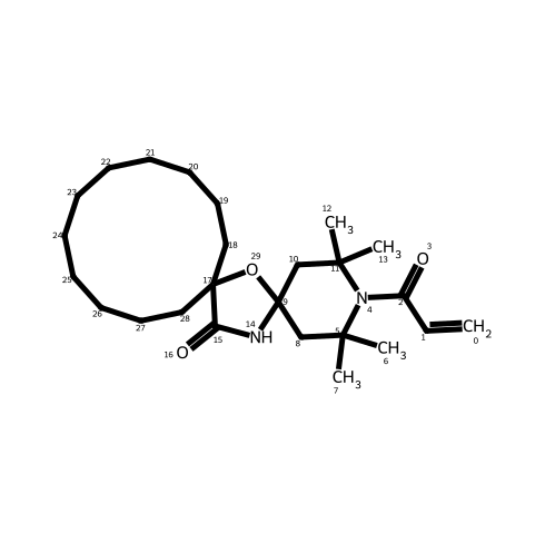 C=CC(=O)N1C(C)(C)CC2(CC1(C)C)NC(=O)C1(CCCCCCCCCCC1)O2